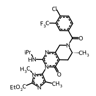 CCOC(=O)c1nc(C)c(-n2c(NC(C)C)nc3c(c2=O)C[C@@H](C)N(C(=O)c2ccc(Cl)c(C(F)(F)F)c2)C3)n1C